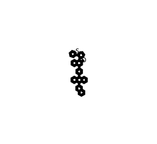 c1ccc2cc(-c3c4ccccc4c(-c4ccc(-c5cc6oc7ccc8sc9ccccc9c8c7c6c6ccccc56)cc4)c4ccccc34)ccc2c1